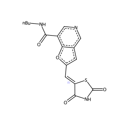 CCCCNC(=O)c1cncc2cc(/C=C3\SC(=O)NC3=O)oc12